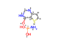 NP(O)O.O=c1[nH]cnc2ccsc12